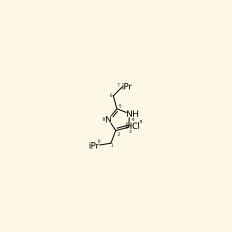 CC(C)Cc1c[nH]c(CC(C)C)n1.Cl